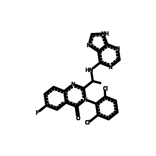 CC(Nc1ncnc2[nH]cnc12)c1nc2ccc(F)cc2c(=O)n1-c1c(Cl)cccc1Cl